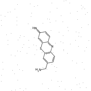 N=c1ccc2nc3ccc(CN)cc3sc-2c1